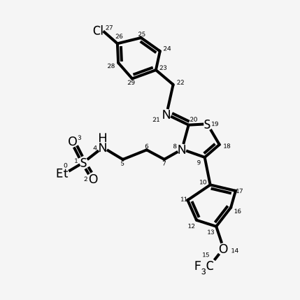 CCS(=O)(=O)NCCCn1c(-c2ccc(OC(F)(F)F)cc2)csc1=NCc1ccc(Cl)cc1